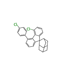 Clc1ccc(-c2cccc3c2-c2c(Cl)cccc2C32C3CC4CC(C3)CC2C4)cc1